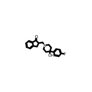 O=C1c2ccccc2CC1CN1CCC(O)(c2ccc(F)cc2)CC1